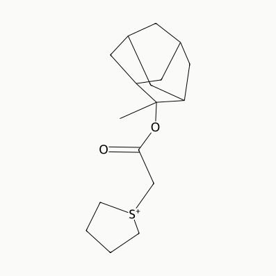 CC1(OC(=O)C[S+]2CCCC2)C2CC3CC(C2)CC1C3